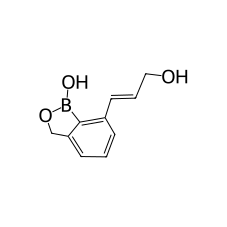 OCC=Cc1cccc2c1B(O)OC2